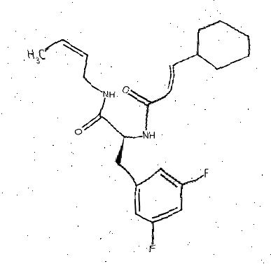 C/C=C\CNC(=O)[C@H](Cc1cc(F)cc(F)c1)NC(=O)/C=C/C1CCCCC1